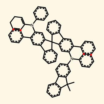 CC1(C)c2ccccc2-c2ccc(N(c3ccccc3)c3cc4c(cc3-c3ccccc3)-c3ccccc3C43c4ccccc4-c4cc(-c5ccccc5)c(N(C5=CCCC=C5)c5ccccc5)cc43)cc21